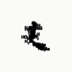 C=C(/C=C(CCCC)\C(C)=C\c1c(CCCN(C)C)cc(-c2ccccc2)n1B(C)F)CCC(=O)NC(CS(=O)(=O)O)C(=O)NCC(C)(O)NC(CS(=O)(=O)O)C(=O)NCCN(C)CCCCCC(=O)NCCOc1cc([N+](=O)[O-])c(C(C)OC(=O)OC)cc1OC